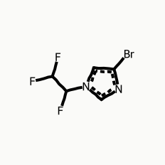 FC(F)C(F)n1cnc(Br)c1